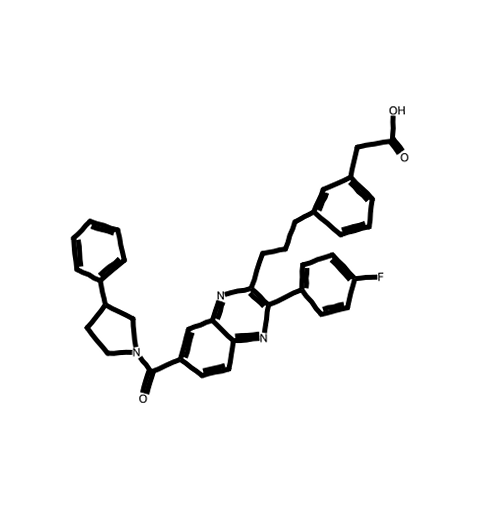 O=C(O)Cc1cccc(CCCc2nc3cc(C(=O)N4CCC(c5ccccc5)C4)ccc3nc2-c2ccc(F)cc2)c1